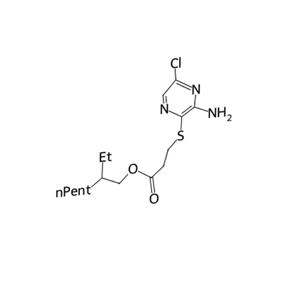 CCCCCC(CC)COC(=O)CCSc1ncc(Cl)nc1N